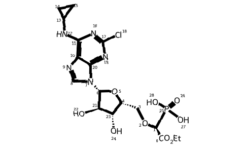 CCOC(=O)[C@@H](OC[C@H]1O[C@@H](n2cnc3c(NC4CC4)nc(Cl)nc32)[C@H](O)[C@H]1O)P(=O)(O)O